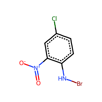 O=[N+]([O-])c1cc(Cl)ccc1NBr